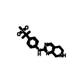 CC(C)(c1ccc(Nc2ncc3c(n2)CNCC3)cc1)S(C)(=O)=O